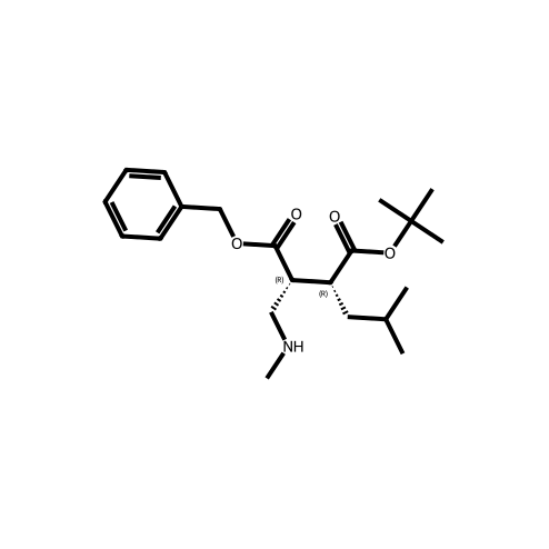 CNC[C@H](C(=O)OCc1ccccc1)[C@@H](CC(C)C)C(=O)OC(C)(C)C